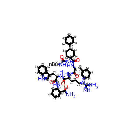 CCCCNC(=O)N[C@]1(C(=O)N[C@H](Cc2ccccc2)C(=O)N[C@@H](CCCNC(=N)N)C(=O)N[C@@H](Cc2c[nH]c3ccccc23)C(=O)Nc2ccccc2C(N)=O)CC[C@H](c2ccccc2)CC1